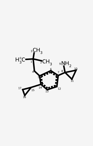 CC(C)(C)Cc1cc(C2(N)CC2)ccc1C1CC1